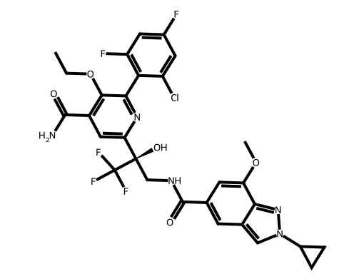 CCOc1c(C(N)=O)cc([C@](O)(CNC(=O)c2cc(OC)c3nn(C4CC4)cc3c2)C(F)(F)F)nc1-c1c(F)cc(F)cc1Cl